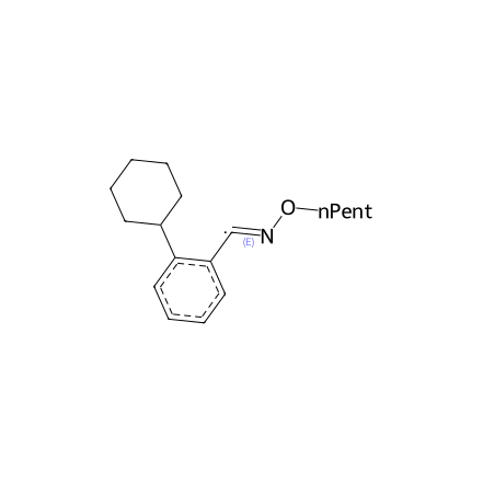 CCCCCO/N=[C]/c1ccccc1C1CCCCC1